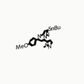 CCCCSc1cc2nc(-c3ccc(OC)cc3)cc(-c3ccnn3C)n2n1